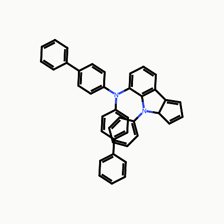 C1=CC2C(=C1)c1cccc(N(c3ccc(-c4ccccc4)cc3)c3ccc(-c4ccccc4)cc3)c1N2c1ccccc1